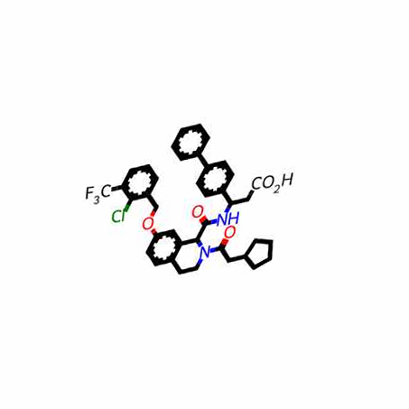 O=C(O)CC(NC(=O)C1c2cc(OCc3cccc(C(F)(F)F)c3Cl)ccc2CCN1C(=O)CC1CCCC1)c1ccc(-c2ccccc2)cc1